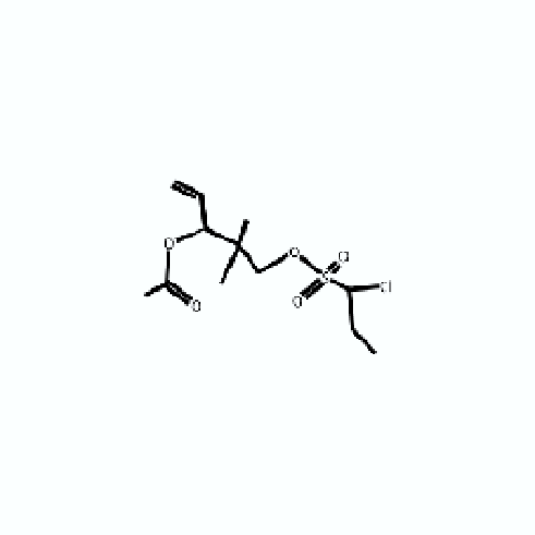 C=C[C@H](OC(C)=O)C(C)(C)COS(=O)(=O)C(Cl)CC